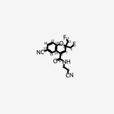 N#CCCNC(=O)C1=CC(CF)(CF)Oc2ccc(C#N)cc21